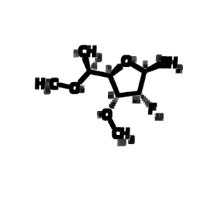 B[C@@H]1O[C@H]([C@H](C)OC)[C@@H](OC)[C@H]1F